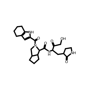 O=C1NCCC1CC(NC(=O)C1C2CCCC2CN1C(=O)c1cc2c([nH]1)CCCC2)C(=O)CO